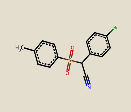 Cc1ccc(S(=O)(=O)C(C#N)c2ccc(Br)cc2)cc1